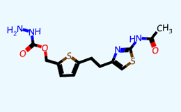 CC(=O)Nc1nc(CCc2ccc(COC(=O)NN)s2)cs1